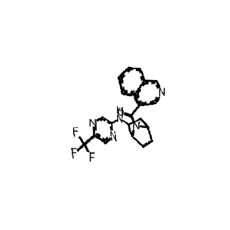 O=C(c1cncc2ccccc12)N1C2CCC1C(Nc1cnc(C(F)(F)F)cn1)C2